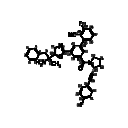 C[C@@](N)(Cc1ccccc1)c1cnc(-c2cc(C(=O)N3CCC[C@@H]3C#Cc3ccc(F)cc3)cc(-c3cccc(F)c3C#N)c2)o1